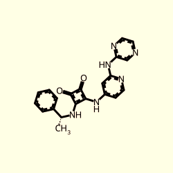 C[C@@H](Nc1c(Nc2ccnc(Nc3cnccn3)c2)c(=O)c1=O)c1ccccc1